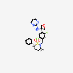 C[C@H]1CC[C@H](c2ccccc2)S(=O)(=O)N1Cc1cc(F)c(C2(Nc3ncccn3)COC2)cc1F